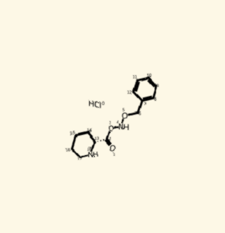 Cl.O=C(ONOCc1ccccc1)[C@H]1CCCCN1